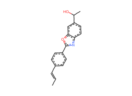 C/C=C/c1ccc(-c2nc3ccc(C(C)O)cc3o2)cc1